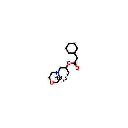 O=C(CC1CCCCC1)OC(CN1CCOCC1)CS(=O)(=O)O